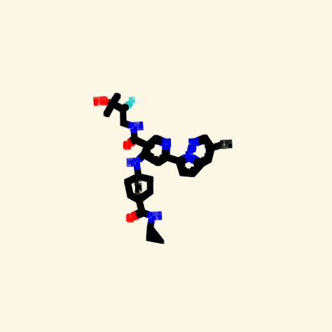 CC(C)(O)C(F)CNC(=O)c1cnc(-c2ccc3cc(C#N)cnn23)cc1NC12CCC(C(=O)NC3CC3)(CC1)CC2